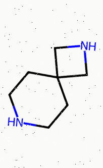 [CH]1NCC12CCNCC2